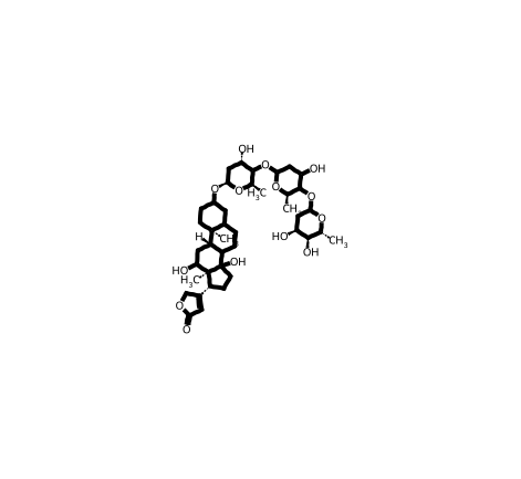 C[C@H]1OC(OC2[C@@H](O)C[C@H](OC3CC[C@@]4(C)C(CCC5[C@@H]4CC(O)[C@]4(C)[C@@H](C6=CC(=O)OC6)CCC54O)C3)O[C@@H]2C)CC(O)C1OC1C[C@H](O)[C@H](O)[C@@H](C)O1